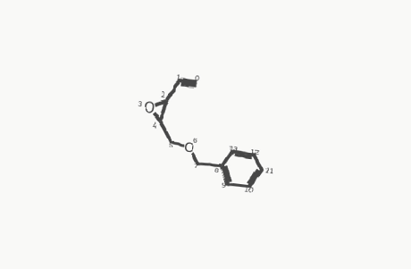 C=CC1OC1COCc1ccccc1